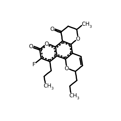 CCCc1c(F)c(=O)oc2c3c(c4c(c12)OC(CCC)C=C4)OC(C)CC3=O